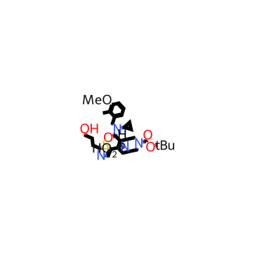 COc1cccc(CN(C(=O)C2=C(c3cnc(CCCO)s3)CC3CN(C(=O)OC(C)(C)C)C[C@H]2N3C(=O)O)C2CC2)c1C